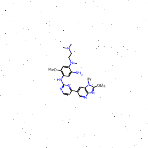 COc1cc(N(C)CCN(C)C)c(N)cc1Nc1nccc(-c2cnc3nc(OC)n(C(C)C)c3c2)n1